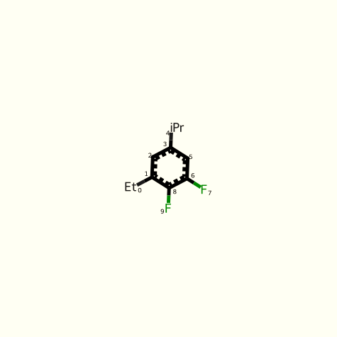 CCc1cc(C(C)C)cc(F)c1F